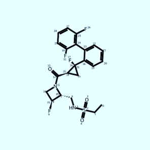 CCS(=O)(=O)NC[C@@H]1[C@@H](F)CN1C(=O)[C@@H]1C[C@@]1(F)c1ccccc1-c1c(F)cccc1F